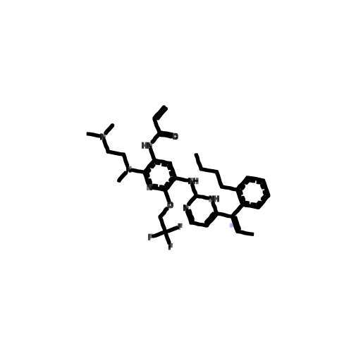 C=CC(=O)Nc1cc(NC2N=CC=C(/C(=C/C)c3ccccc3CCCC)N2)c(OCC(F)(F)F)nc1N(C)CCN(C)C